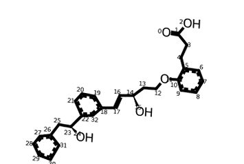 O=C(O)CCc1ccccc1OCC[C@@H](O)/C=C/c1cccc([C@@H](O)Cc2ccccc2)c1